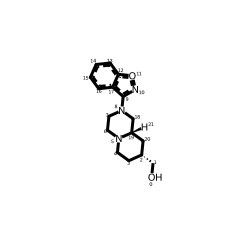 OC[C@@H]1CCN2CCN(c3noc4ccccc34)C[C@@H]2C1